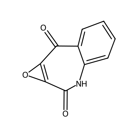 O=c1[nH]c2ccccc2c(=O)c2c1O2